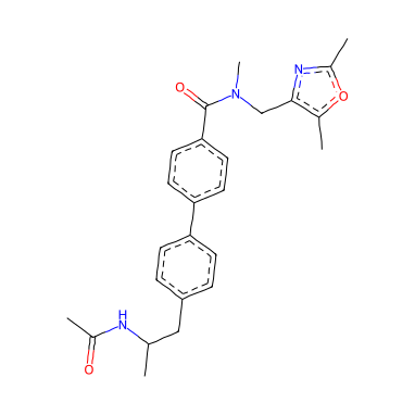 CC(=O)NC(C)Cc1ccc(-c2ccc(C(=O)N(C)Cc3nc(C)oc3C)cc2)cc1